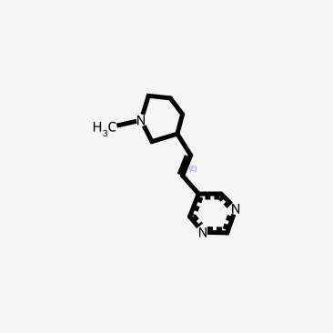 CN1CCCC(/C=C/c2cncnc2)C1